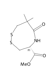 COC(=O)[C@@H]1CSSCC(C)(C)C(=O)N1